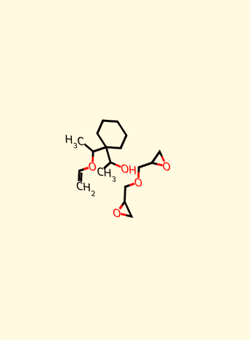 C(OCC1CO1)C1CO1.C=COC(C)C1(C(C)O)CCCCC1